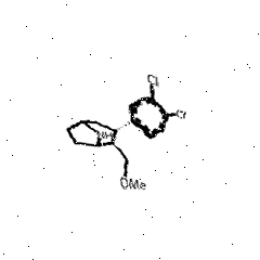 COC[C@H]1C2CCC(C[C@@H]1c1ccc(Cl)c(Cl)c1)N2